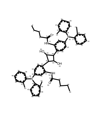 CCCCC(=O)Nc1cc(N(c2ccccc2C)c2ccccc2C)ccc1C1C(O)C(c2ccc(N(c3ccccc3C)c3ccccc3C)cc2NC(=O)CCCC)C1O